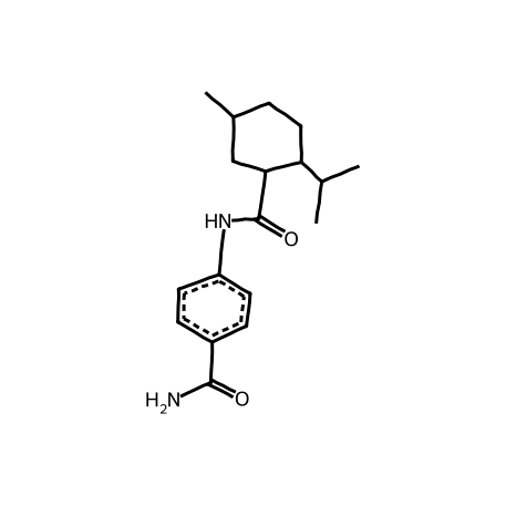 CC1CCC(C(C)C)C(C(=O)Nc2ccc(C(N)=O)cc2)C1